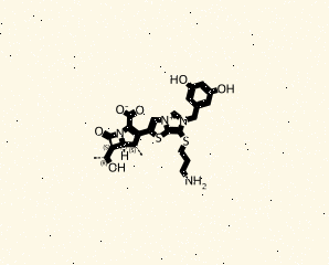 C[C@@H](O)[C@H]1C(=O)N2C(C(=O)[O-])=C(c3c[n+]4cn(Cc5cc(O)cc(O)c5)c(SCCCN)c4s3)[C@H](C)[C@@H]12